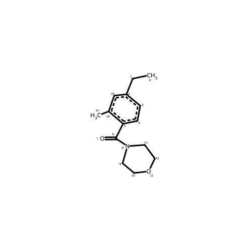 CCc1ccc(C(=O)N2CCOCC2)c(C)c1